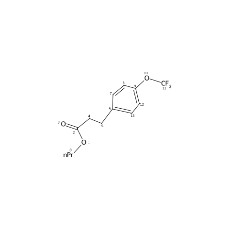 CCCOC(=O)CCc1ccc(OC(F)(F)F)cc1